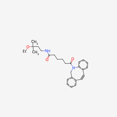 CCOC(C)(C)CCNC(=O)CCCCC(=O)N1Cc2ccccc2C#Cc2ccccc21